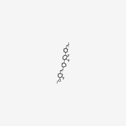 C/C=C/c1ccc(-c2ccc(-c3ccc(/C=C/c4ccc(OCC)c(F)c4)cc3)c(F)c2F)cc1